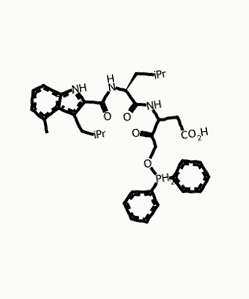 Cc1cccc2[nH]c(C(=O)N[C@@H](CC(C)C)C(=O)NC(CC(=O)O)C(=O)CO[PH2](c3ccccc3)c3ccccc3)c(CC(C)C)c12